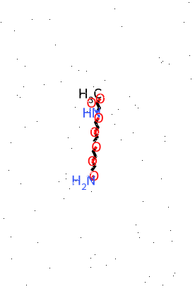 COC(=O)CNOCCOCCOCCOCCON